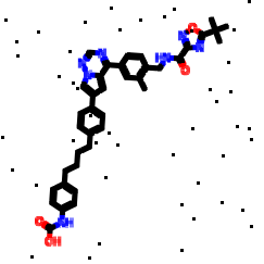 Cc1cc(-c2ncnn3cc(-c4ccc(CCCCc5ccc(NC(=O)O)cc5)cc4)cc23)ccc1CNC(=O)c1noc(C(C)(C)C)n1